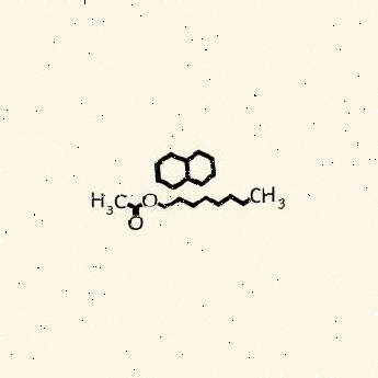 C1CCC2CCCCC2C1.CCCCCCCCOC(C)=O